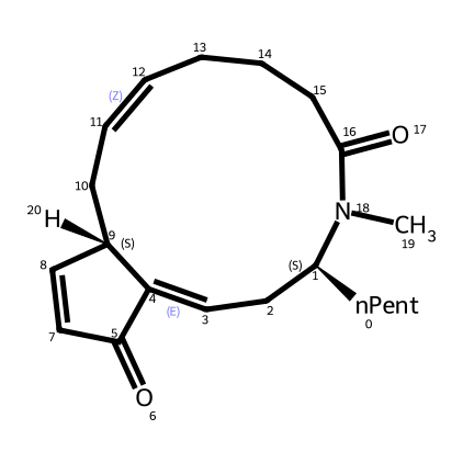 CCCCC[C@H]1C/C=C2/C(=O)C=C[C@@H]2C/C=C\CCCC(=O)N1C